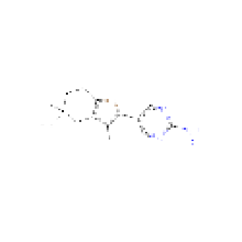 CC1(C)CCc2sc(-c3cnc(NN)nc3)c(C(=O)O)c2C1